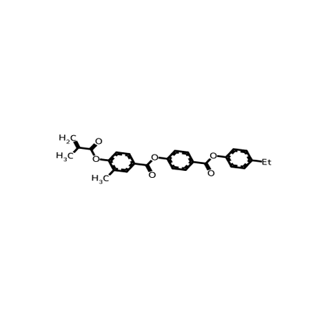 C=C(C)C(=O)Oc1ccc(C(=O)Oc2ccc(C(=O)Oc3ccc(CC)cc3)cc2)cc1C